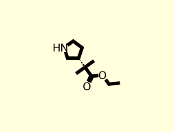 CCOC(=O)C(C)(C)[C@H]1CCNC1